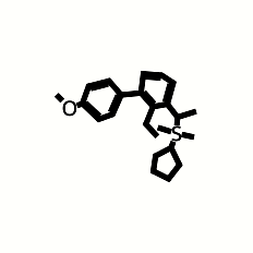 CCc1c(-c2ccc(OC)cc2)cccc1C(C)S(C)(C)C1CCCC1